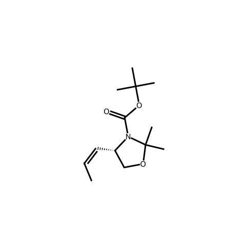 C/C=C\[C@H]1COC(C)(C)N1C(=O)OC(C)(C)C